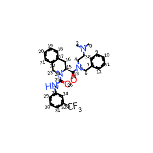 CN(C)CCN(Cc1ccccc1)C(=O)[C@@H]1Cc2ccccc2CN1C(=O)Nc1cccc(C(F)(F)F)c1